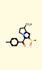 Cc1ccc(C(=O)c2c([S+](C)[O-])cc3n2CCC3C(=O)O)cc1